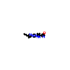 CCCCc1cnc(N2CCN(c3nnc(-c4cncc(OC)c4)c(C)c3C)CC2)cc1C